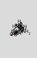 CCCCCCCCNC(=O)[C@H](Cc1ccccc1)NC(=O)[C@H](COC(C)(C)C)NC(=O)[C@@H](NC(=O)[C@H](CCCNC(=N)NS(=O)(=O)c1c(C)c(C)c2c(c1C)CC(C)(C)O2)NC(=O)CN)C(C)C